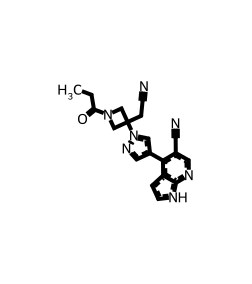 CCC(=O)N1CC(CC#N)(n2cc(-c3c(C#N)cnc4[nH]ccc34)cn2)C1